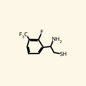 NC(CS)c1cccc(C(F)(F)F)c1F